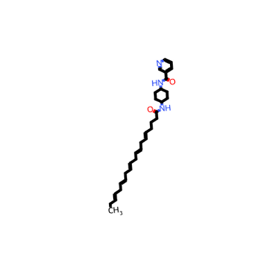 CCC=CCC=CCC=CCC=CCC=CCCCC(=O)NC1CCC(NC(=O)c2cccnc2)CC1